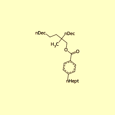 CCCCCCCCCCCCC(C)(CCCCCCCCCC)COC(=O)c1ccc(CCCCCCC)cc1